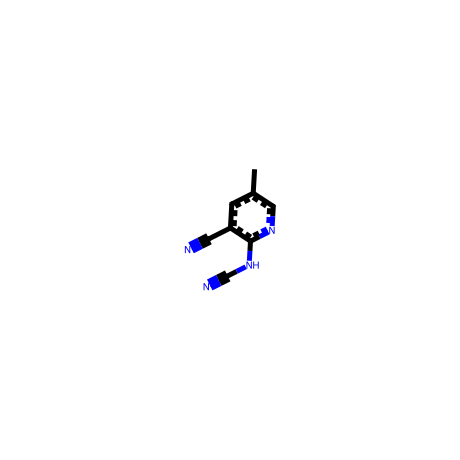 Cc1cnc(NC#N)c(C#N)c1